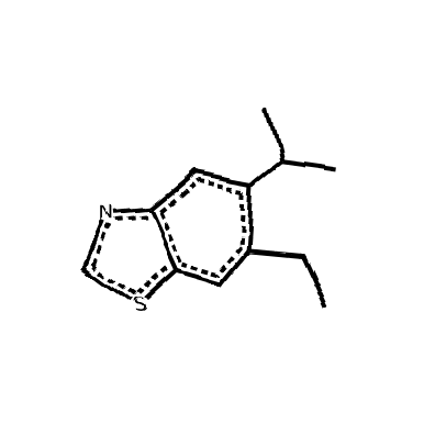 CCc1cc2scnc2cc1C(C)C